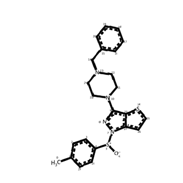 Cc1ccc([S+]([O-])n2nc(N3CCN(Cc4ccccc4)CC3)c3sccc32)cc1